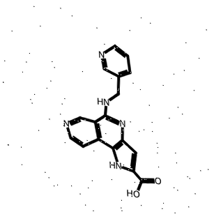 O=C(O)c1cc2nc(NCc3cccnc3)c3cnccc3c2[nH]1